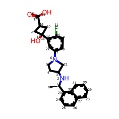 C[C@@H](NC1CCN(c2ccc(F)c(C3(O)CC(C(=O)O)C3)c2)C1)c1cccc2ccccc12